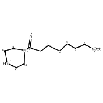 CCCCCCCCCCCCCCC(=O)N1CCNCC1